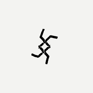 C[CH2][Sn]1([CH2]C)[S][Sn]([CH2]C)([CH2]C)[S]1